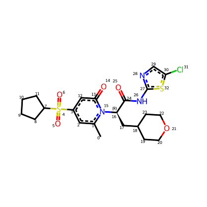 Cc1cc(S(=O)(=O)C2CCCC2)cc(=O)n1[C@H](CC1CCOCC1)C(=O)Nc1ncc(Cl)s1